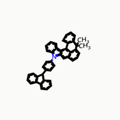 CC1(C)c2ccccc2-c2c3c1cccc3cc1c2c2ccccc2n1-c1ccc(C2c3ccccc3-c3ccccc32)cc1